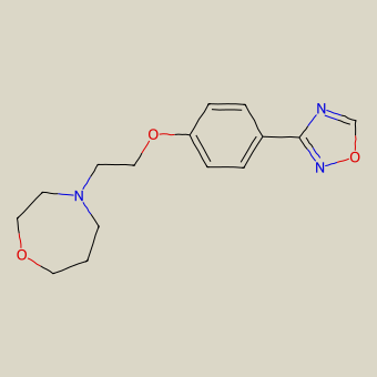 c1nc(-c2ccc(OCCN3CCCOCC3)cc2)no1